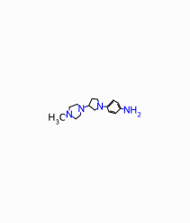 CN1CCN(C2CCN(c3ccc(N)cc3)C2)CC1